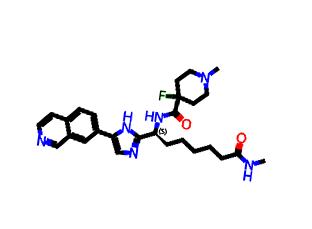 CNC(=O)CCCCC[C@H](NC(=O)C1(F)CCN(C)CC1)c1ncc(-c2ccc3ccncc3c2)[nH]1